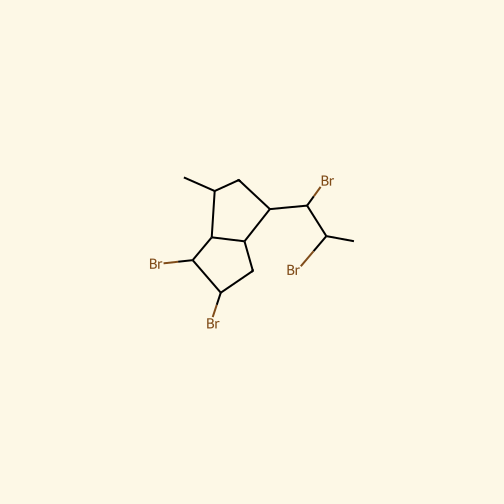 CC(Br)C(Br)C1CC(C)C2C(Br)C(Br)CC12